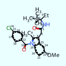 CCC(NC(=O)Cc1c(C)n(C(=O)c2ccc(Cl)cc2)c2ccc(OC)cc12)[Si](C)(C)C